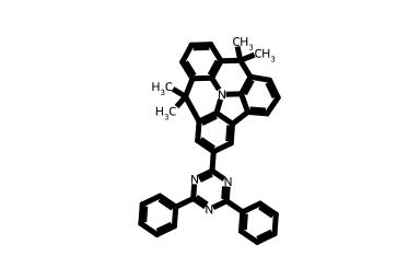 CC1(C)c2cccc3c2-n2c4c1cccc4c1cc(-c4nc(-c5ccccc5)nc(-c5ccccc5)n4)cc(c12)C3(C)C